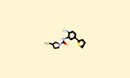 CC1CCN(C(=O)Nc2cc(-c3cccs3)ccc2N)C1